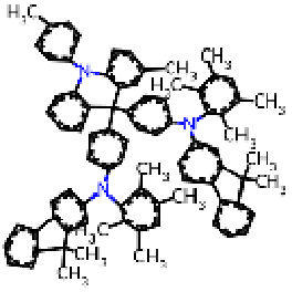 Cc1ccc(N2c3ccccc3C(c3ccc(N(c4ccc5c(c4)C(C)(C)c4ccccc4-5)c4c(C)c(C)cc(C)c4C)cc3)(c3ccc(N(c4ccc5c(c4)C(C)(C)c4ccccc4-5)c4c(C)c(C)cc(C)c4C)cc3)c3cc(C)ccc32)cc1